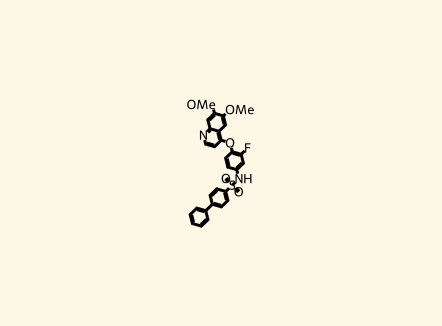 COc1cc2nccc(Oc3ccc(NS(=O)(=O)c4ccc(-c5ccccc5)cc4)cc3F)c2cc1OC